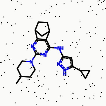 CC1CCN(c2nc(Nc3cc(C4CC4)[nH]n3)c3c(n2)C2CCC3C2)CC1